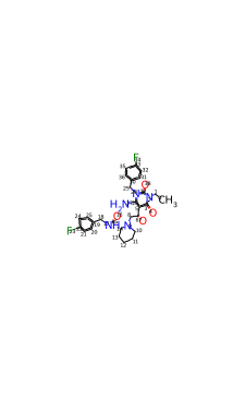 CCn1c(=O)c(C(=O)CN2CCCC[C@@H]2C(=O)NCc2ccc(F)cc2)c(N)n(Cc2ccc(F)cc2)c1=O